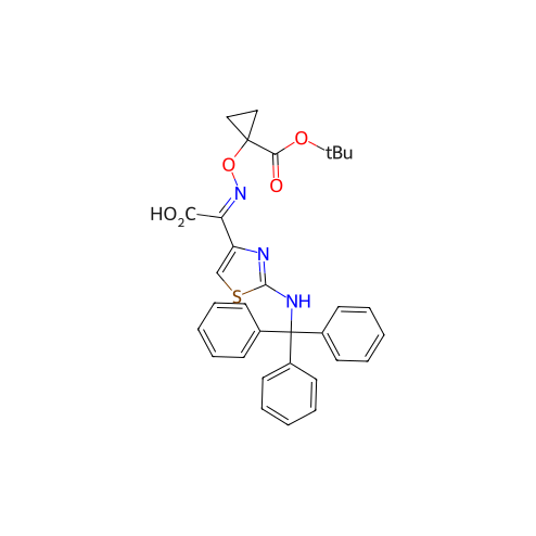 CC(C)(C)OC(=O)C1(O/N=C(\C(=O)O)c2csc(NC(c3ccccc3)(c3ccccc3)c3ccccc3)n2)CC1